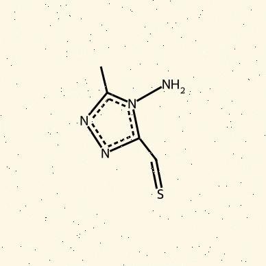 Cc1nnc(C=S)n1N